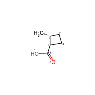 C[C@@H]1CCC1C(=O)O